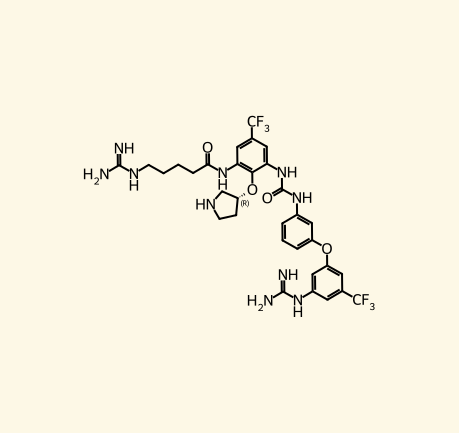 N=C(N)NCCCCC(=O)Nc1cc(C(F)(F)F)cc(NC(=O)Nc2cccc(Oc3cc(NC(=N)N)cc(C(F)(F)F)c3)c2)c1O[C@@H]1CCNC1